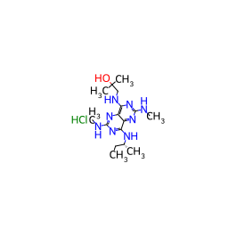 CC[C@@H](C)Nc1nc(NC)nc2c(NCC(C)(C)O)nc(NC)nc12.Cl